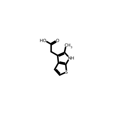 Cc1[nH]c2sccc2c1CC(=O)O